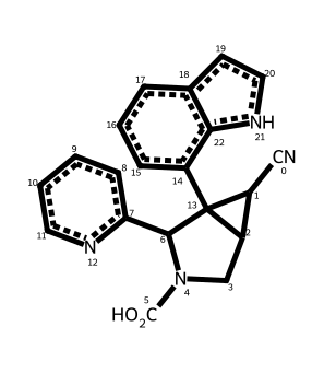 N#CC1C2CN(C(=O)O)C(c3ccccn3)C12c1cccc2cc[nH]c12